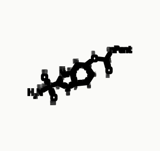 CCCCCC(=O)Oc1ccc2sc(S(N)(=O)=O)nc2c1